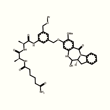 COc1cc2c(cc1OCc1cc(COC(C)C)cc(NC(=O)[C@H](C)NC(=O)[C@H](C)NC(=O)CCCCC(N)=O)c1)NC(O)[C@@H]1Cc3ccccc3N1C2=O